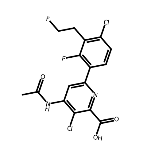 CC(=O)Nc1cc(-c2ccc(Cl)c(CCF)c2F)nc(C(=O)O)c1Cl